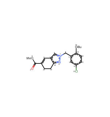 COC(=O)C1=Cc2cn(Cc3cc(Cl)ccc3OCC(C)C)nc2CC1